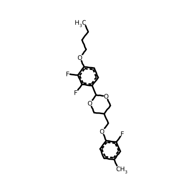 CCCCOc1ccc(C2OCC(COc3ccc(C)cc3F)CO2)c(F)c1F